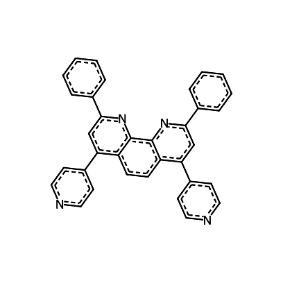 c1ccc(-c2cc(-c3ccncc3)c3ccc4c(-c5ccncc5)cc(-c5ccccc5)nc4c3n2)cc1